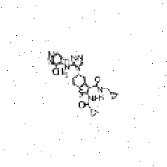 Cc1nnccc1Nc1nncn1[C@H]1CCc2sc(NC(=O)C3CC3)c(C(=O)NCC3CC3)c2C1